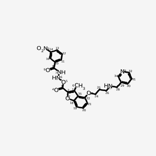 Cc1c(C(=O)ONNC(=O)c2cccc([N+](=O)[O-])c2)oc2cccc(OCCCNCc3cccnc3)c12